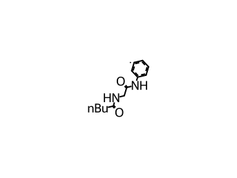 CCCCC(=O)NCC(=O)Nc1c[c]ccc1